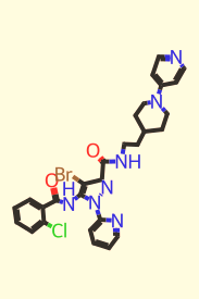 O=C(Nc1c(Br)c(C(=O)NCCC2CCN(c3ccncc3)CC2)nn1-c1ccccn1)c1ccccc1Cl